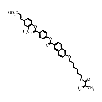 C=C(C)C(=O)OCCCCCCOc1ccc2cc(C(=O)Oc3ccc(C(=O)Oc4ccc(/C=C/C(=O)OCC)cc4C)cc3)ccc2c1